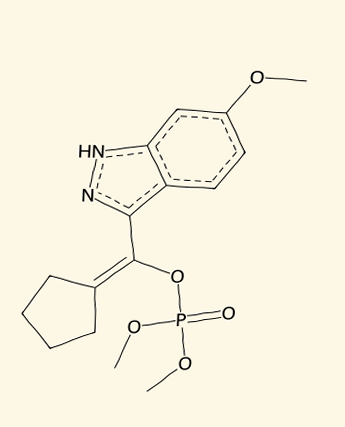 COc1ccc2c(C(OP(=O)(OC)OC)=C3CCCC3)n[nH]c2c1